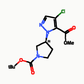 COC(=O)c1c(Cl)cnn1[C@H]1CCN(C(=O)OC(C)(C)C)C1